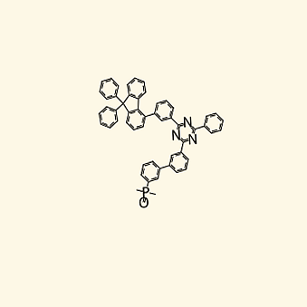 CP(C)(=O)c1cccc(-c2cccc(-c3nc(-c4ccccc4)nc(-c4cccc(-c5cccc6c5-c5ccccc5C6(c5ccccc5)c5ccccc5)c4)n3)c2)c1